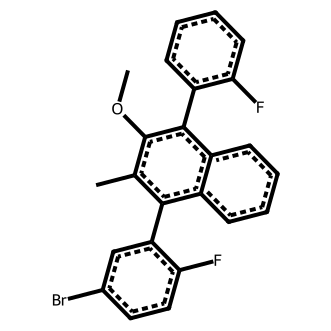 COc1c(C)c(-c2cc(Br)ccc2F)c2ccccc2c1-c1ccccc1F